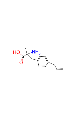 C=CCc1ccc(CC(C)(N)C(=O)O)cc1